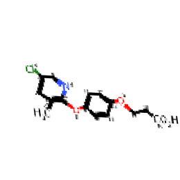 Cc1cc(Cl)cnc1Oc1ccc(OCCC(=O)O)cc1